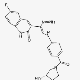 N=N/C(=C\Nc1ccc(C(=O)N2CC[C@H](O)C2)cc1)c1cc2cc(F)ccc2[nH]c1=O